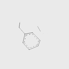 CS(=O)(=O)O.OCc1ccccc1